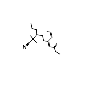 C=C(/C=C(\C=C/C)CCC(CCC)C(C)(C)C#N)CC